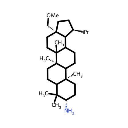 COC[C@]12CC[C@@H](C(C)C)C1C1CCC3[C@@]4(C)CC[C@H](N)C(C)(C)C4CC[C@@]3(C)[C@]1(C)CC2